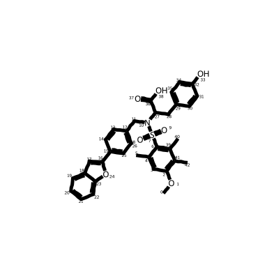 COc1cc(C)c(S(=O)(=O)N(Cc2ccc(-c3cc4ccccc4o3)cc2)C(Cc2ccc(O)cc2)C(=O)O)c(C)c1C